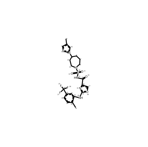 Cc1cnn(C2CCCN(S(=O)(=O)NC(=O)c3coc(Nc4cc(C(F)(F)F)ccc4C)n3)CC2)c1